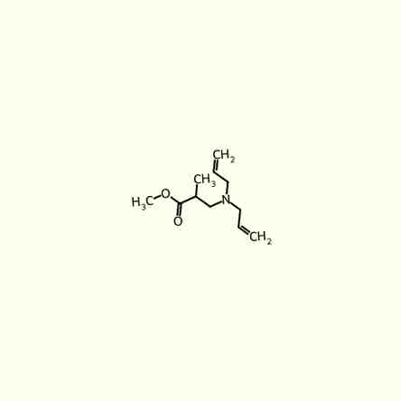 C=CCN(CC=C)CC(C)C(=O)OC